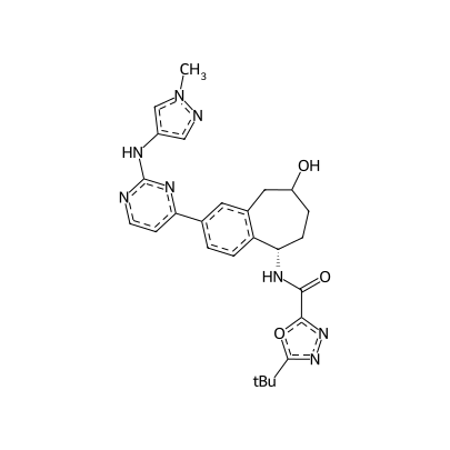 Cn1cc(Nc2nccc(-c3ccc4c(c3)CC(O)CC[C@@H]4NC(=O)c3nnc(C(C)(C)C)o3)n2)cn1